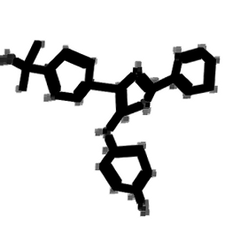 CC(C)(O)c1ccc(-c2nc(-c3ccccn3)oc2Sc2ccc(Cl)cc2)cn1